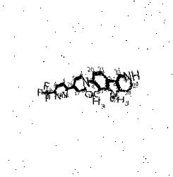 Cc1c(-n2ccc(-c3ccc(C(F)(F)F)nn3)cc2=O)ccc2c3c(n(C)c12)CCNC3